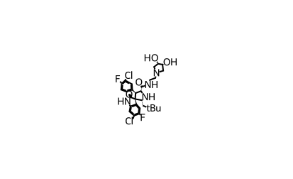 CC(C)(C)C[C@H]1N[C@@H](C(=O)NCCN2C[C@@H](O)[C@@H](O)C2)[C@H](c2ccc(F)c(Cl)c2)[C@@]12C(=O)Nc1cc(Cl)c(F)cc12